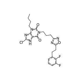 CCCCn1c(=O)n(CCCc2noc(CCc3cccc(F)c3F)n2)c(=O)c2[nH]c(Cl)nc21